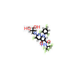 O=C(NC(C(F)(F)F)C(F)(F)F)c1cn(-c2c(F)cc(F)cc2F)c2nc(N3CC(CO)(CO)C3)c(F)cc2c1=O